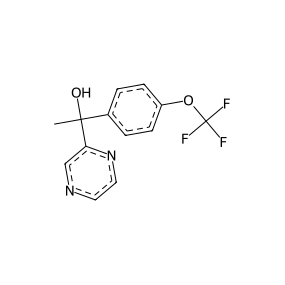 CC(O)(c1ccc(OC(F)(F)F)cc1)c1cnccn1